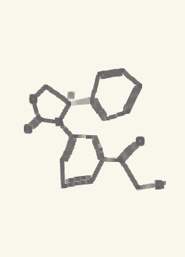 O=C(CBr)c1cccc(N2C(=O)OC[C@@H]2c2ccccc2)c1